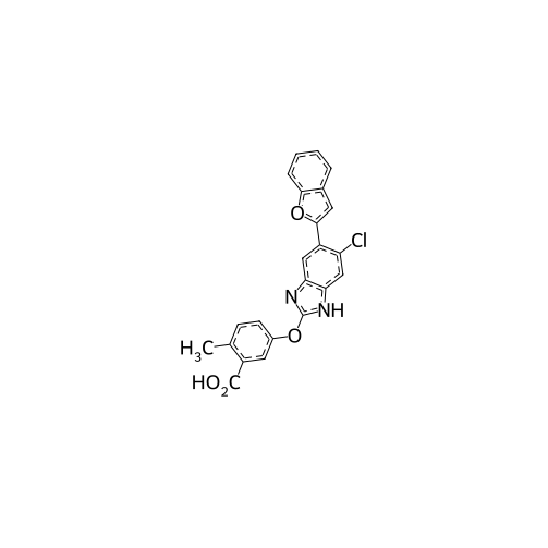 Cc1ccc(Oc2nc3cc(-c4cc5ccccc5o4)c(Cl)cc3[nH]2)cc1C(=O)O